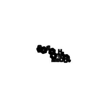 C=N/C=C\C(C(=O)OC)=C(/C)NC[C@@H]1CCCc2cc(N(C)c3ccc4ccoc4c3)ccc21